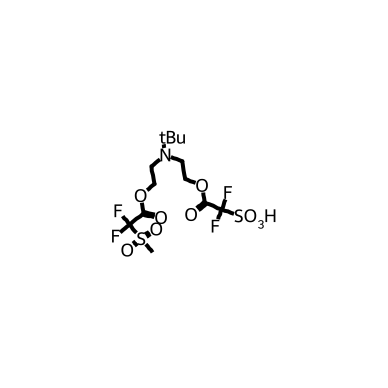 CC(C)(C)N(CCOC(=O)C(F)(F)S(C)(=O)=O)CCOC(=O)C(F)(F)S(=O)(=O)O